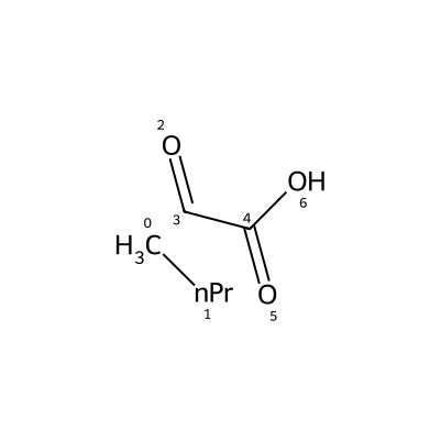 CCCC.O=CC(=O)O